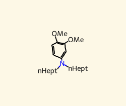 CCCCCCCN(CCCCCCC)c1ccc(OC)c(OC)c1